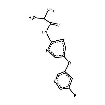 CC(C)C(=O)Nc1ccc(Oc2cncc(F)c2)cn1